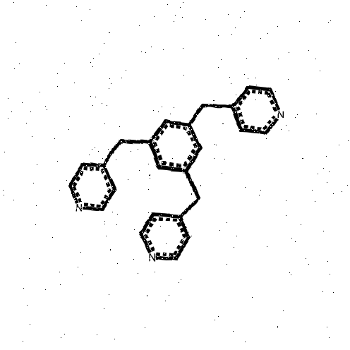 c1cc(Cc2cc(Cc3ccncc3)cc(Cc3ccncc3)c2)ccn1